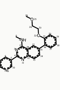 CNc1nc(-c2cccnc2)nc2ccc(-c3ccccc3OCCOC)cc12